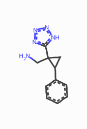 NCC1(c2nnn[nH]2)CC1c1ccccc1